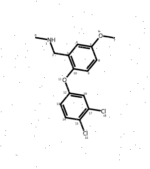 CNCc1cc(OC)ccc1Oc1ccc(Cl)c(Cl)c1